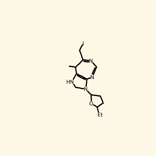 CCC1CCC(N2CNC3=C2N=CN=C(CI)C3C)O1